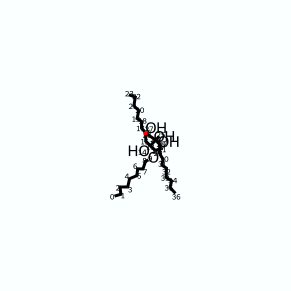 CCCCCCCCCOC(CO)C(O)(CCCCCCCCC)C(O)(CO)CCCCCCCCC